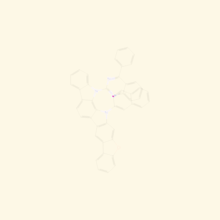 c1ccc(-c2nc(-n3c4ccccc4c4ccc5c6cc7c(cc6n(-c6ccc8ccccc8c6)c5c43)oc3ccccc37)nc3ccccc23)cc1